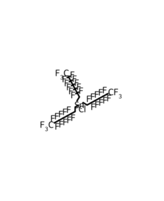 FC(F)(F)C(F)(F)C(F)(F)C(F)(F)C(F)(F)C(F)(F)C[CH2][Sn]([Cl])([CH2]CC(F)(F)C(F)(F)C(F)(F)C(F)(F)C(F)(F)C(F)(F)F)[CH2]CC(F)(F)C(F)(F)C(F)(F)C(F)(F)C(F)(F)C(F)(F)F